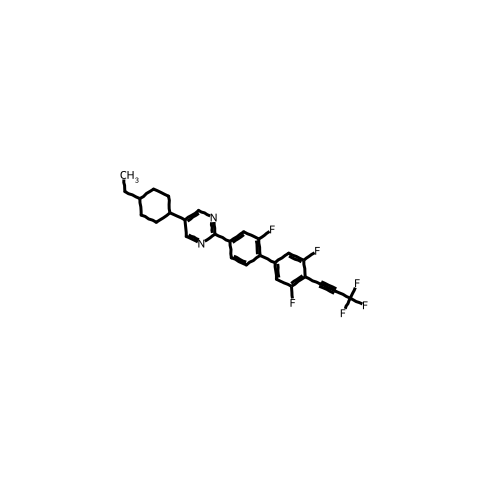 CCC1CCC(c2cnc(-c3ccc(-c4cc(F)c(C#CC(F)(F)F)c(F)c4)c(F)c3)nc2)CC1